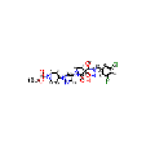 CC(C)(C)OC(=O)N1CCC(n2cc(N3CCC(O)(C(=O)NCc4cc(F)cc(Cl)c4)C3=O)cn2)CC1